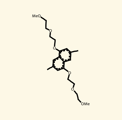 COCCOCCOc1cc(C)cc2c(OCCOCCOC)cc(C)cc12